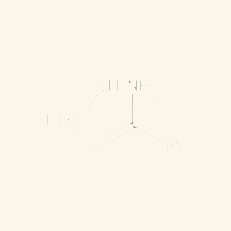 CC(=O)O.CC(C)C(N)=O